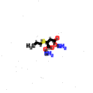 CCCSC(CC(=O)ON)C(=O)ON